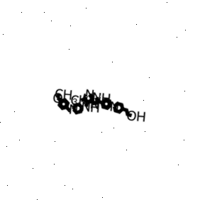 COc1ccc(CN2CCC(Nc3c(Cl)cnc4[nH]c(-c5ccc(N6CCC(CCO)CC6)cc5)nc34)CC2)cc1